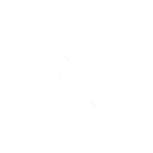 N[C@@H]1C(=O)N2CC3(CC3)CN2Cc2ccccc21